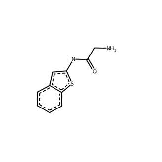 NCC(=O)[N]c1cc2ccccc2s1